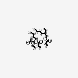 C=CC(=O)OCC(CC)CCCC.C=CC(=O)OCCCC.C=COC(C)=O